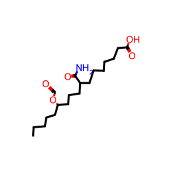 CCCCCC(CCCC(CCCCCCC(=O)O)C(N)=O)OC=O